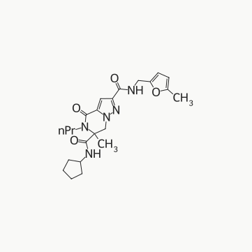 CCCN1C(=O)c2cc(C(=O)NCc3ccc(C)o3)nn2CC1(C)C(=O)NC1CCCC1